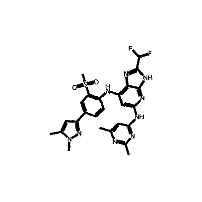 Cc1cc(Nc2cc(Nc3ccc(-c4cc(C)n(C)n4)cc3S(C)(=O)=O)c3nc(C(F)F)[nH]c3n2)nc(C)n1